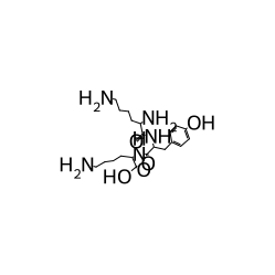 NCCCCC(N)C(=O)NC(Cc1ccc(O)cc1)C(=O)NC(CCCCN)C(=O)O